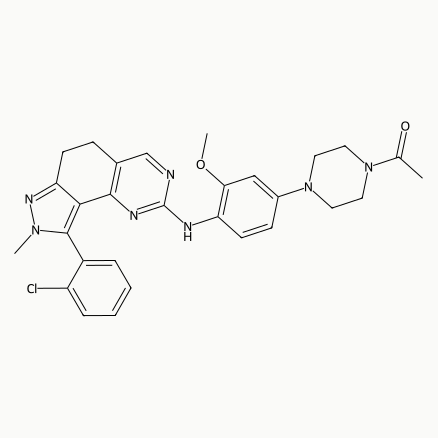 COc1cc(N2CCN(C(C)=O)CC2)ccc1Nc1ncc2c(n1)-c1c(nn(C)c1-c1ccccc1Cl)CC2